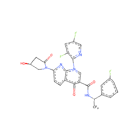 O=C(NC(c1cccc(F)c1)C(F)(F)F)c1cn(-c2ncc(F)cc2F)c2nc(N3C[C@@H](O)CC3=O)ccc2c1=O